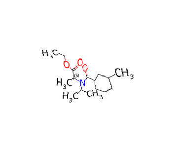 CCOC(=O)[C@H](C)N(C(=O)C1CCCC(C)C1)C(C)C